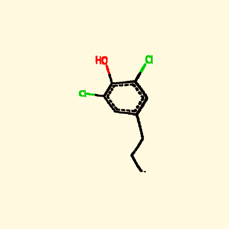 [CH2]CCc1cc(Cl)c(O)c(Cl)c1